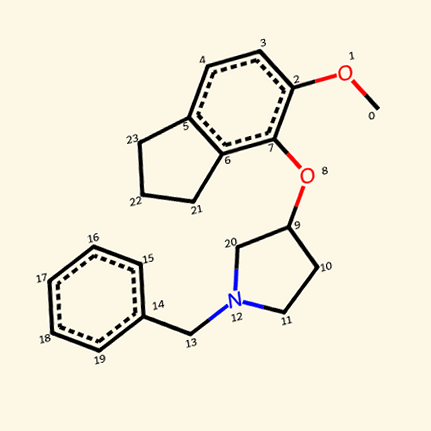 COc1ccc2c(c1OC1CCN(Cc3ccccc3)C1)CCC2